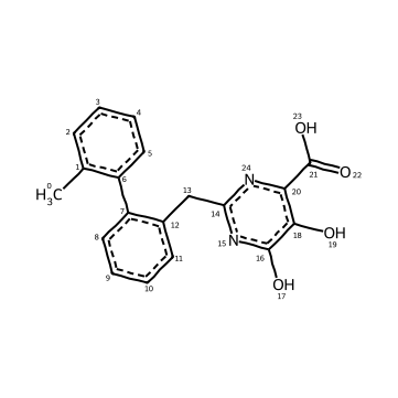 Cc1ccccc1-c1ccccc1Cc1nc(O)c(O)c(C(=O)O)n1